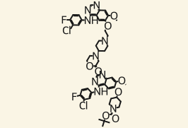 COc1cc2ncnc(Nc3ccc(F)c(Cl)c3)c2cc1OC1CCN(C(=O)OC(C)(C)C)CC1.COc1cc2ncnc(Nc3ccc(F)c(Cl)c3)c2cc1OCCN1CCC(N2CCOC(=O)C2)CC1